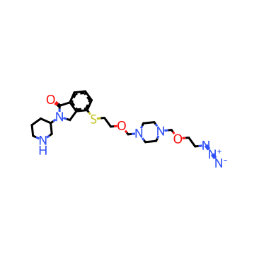 [N-]=[N+]=NCCOCN1CCN(COCCSc2cccc3c2CN(C2CCCNC2)C3=O)CC1